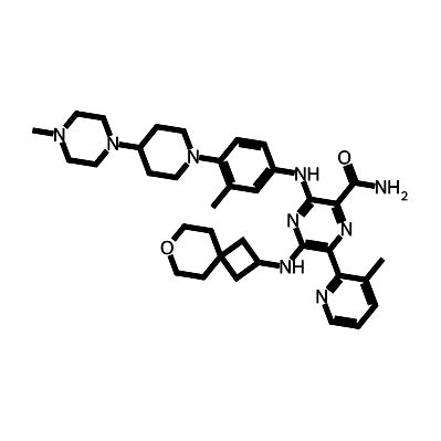 Cc1cc(Nc2nc(NC3CC4(CCOCC4)C3)c(-c3ncccc3C)nc2C(N)=O)ccc1N1CCC(N2CCN(C)CC2)CC1